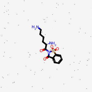 NCCCC[C@H](N)C(=O)N1C(=O)c2ccccc2S1(=O)=O